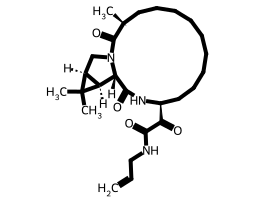 C=CCNC(=O)C(=O)[C@@H]1CCCCCCCCC[C@H](C)C(=O)N2C[C@H]3[C@@H]([C@H]2C(=O)N1)C3(C)C